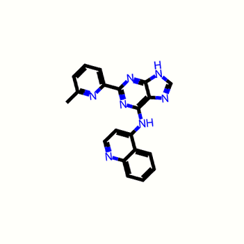 Cc1cccc(-c2nc(Nc3ccnc4ccccc34)c3nc[nH]c3n2)n1